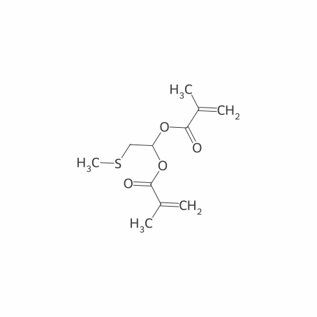 C=C(C)C(=O)OC(CSC)OC(=O)C(=C)C